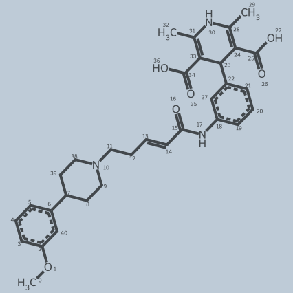 COc1cccc(C2CCN(CCC=CC(=O)Nc3cccc(C4C(C(=O)O)=C(C)NC(C)=C4C(=O)O)c3)CC2)c1